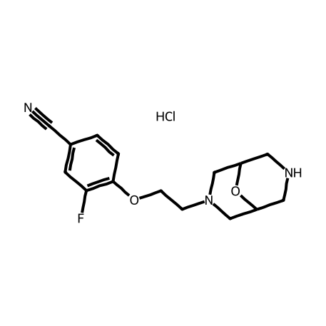 Cl.N#Cc1ccc(OCCN2CC3CNCC(C2)O3)c(F)c1